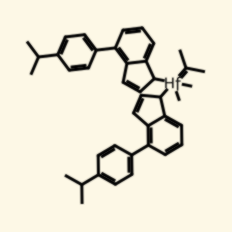 C[C](C)=[Hf]([CH3])([CH3])([CH]1C=Cc2c(-c3ccc(C(C)C)cc3)cccc21)[CH]1C=Cc2c(-c3ccc(C(C)C)cc3)cccc21